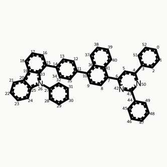 c1ccc(-c2cc(-c3ccc(-c4ccc(-c5cccc6c7ccccc7n(-c7ccccc7)c56)cc4)c4ccccc34)nc(-c3ccccc3)n2)cc1